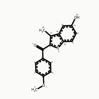 COc1ccc(C(=O)c2sc3ccc(O)cc3c2C)cc1